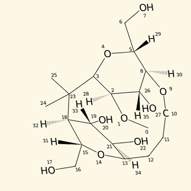 CO[C@H]1C2O[C@H](CO)[C@@H](OCCCC3O[C@H](CO)[C@H]([C@H](O)[C@H]3O)C2(C)C)[C@@H]1O